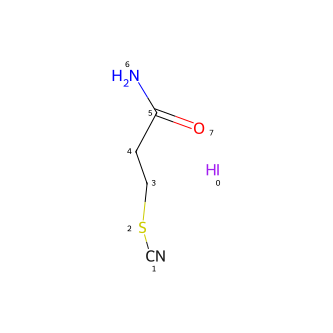 I.N#CSCCC(N)=O